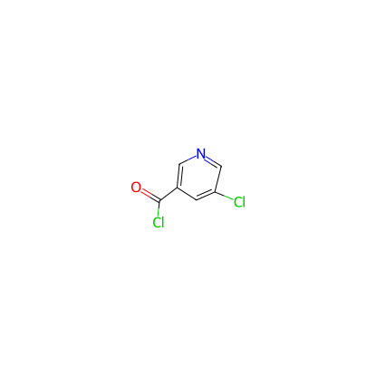 O=C(Cl)c1cncc(Cl)c1